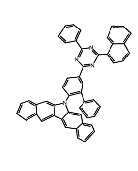 c1ccc(-c2nc(-c3ccc(-n4c5cc6ccccc6cc5c5cc6ccccc6cc54)c(-c4ccccc4)c3)nc(-c3cccc4ccccc34)n2)cc1